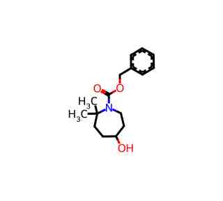 CC1(C)CCC(O)CCN1C(=O)OCc1ccccc1